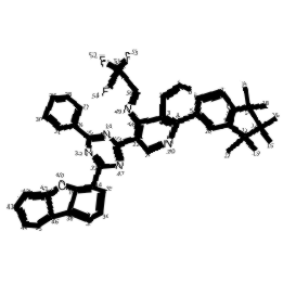 C/C=C\c1c(-c2ccc3c(c2)C(C)(C)C(C)(C)C3(C)C)ncc(-c2nc(-c3ccccc3)nc(-c3cccc4c3oc3ccccc34)n2)c1/N=C/C(F)(F)F